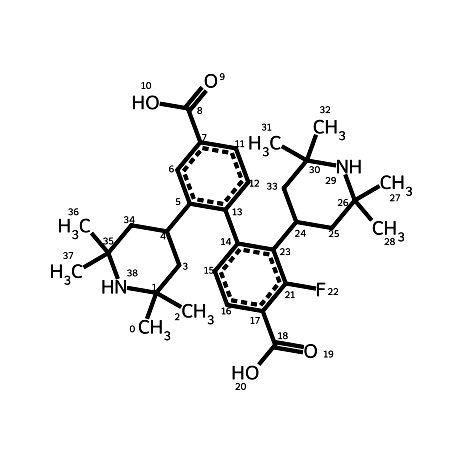 CC1(C)CC(c2cc(C(=O)O)ccc2-c2ccc(C(=O)O)c(F)c2C2CC(C)(C)NC(C)(C)C2)CC(C)(C)N1